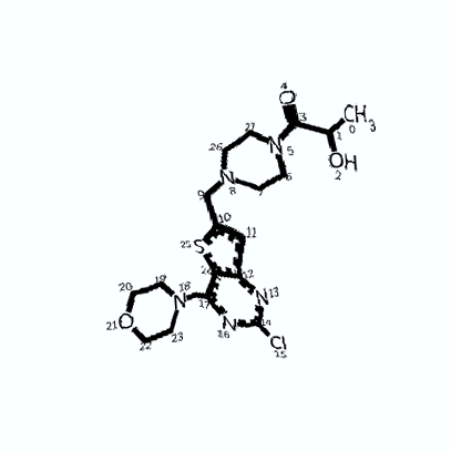 CC(O)C(=O)N1CCN(Cc2cc3nc(Cl)nc(N4CCOCC4)c3s2)CC1